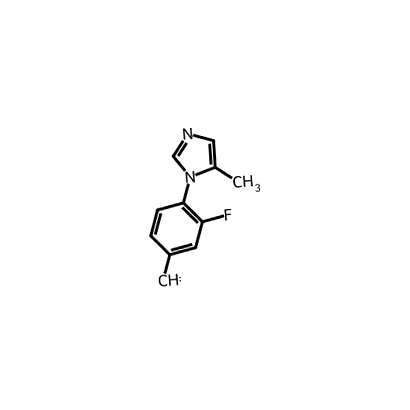 [CH]c1ccc(-n2cncc2C)c(F)c1